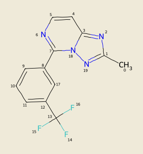 Cc1nc2ccnc(-c3cccc(C(F)(F)F)c3)n2n1